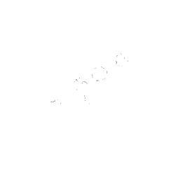 COc1cc(-c2cn[nH]c2)cc(F)c1C(=N)SC(=N)N(C)C1CC(C)(C)NC(C)(C)C1